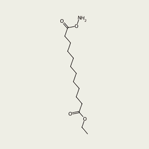 CCOC(=O)CCCCCCCCCCC(=O)ON